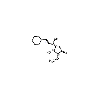 CO[C@H]1C(=O)O[C@@H]([C@H](O)/C=C/C2CCCCC2)[C@H]1O